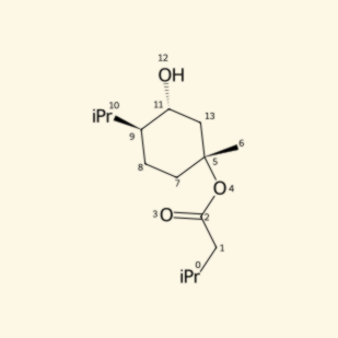 CC(C)CC(=O)O[C@]1(C)CC[C@@H](C(C)C)[C@H](O)C1